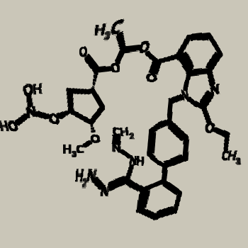 C=NN/C(=N\N)c1ccccc1-c1ccc(Cn2c(OCC)nc3cccc(C(=O)OC(C)OC(=O)[C@@H]4C[C@H](OC)[C@@H](ON(O)O)C4)c32)cc1